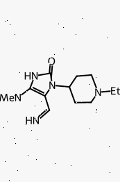 CCN1CCC(n2c(C=N)c(NC)[nH]c2=O)CC1